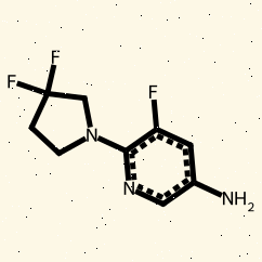 Nc1cnc(N2CCC(F)(F)C2)c(F)c1